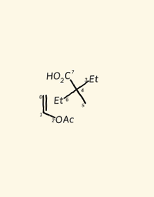 C=COC(C)=O.CCC(C)(CC)C(=O)O